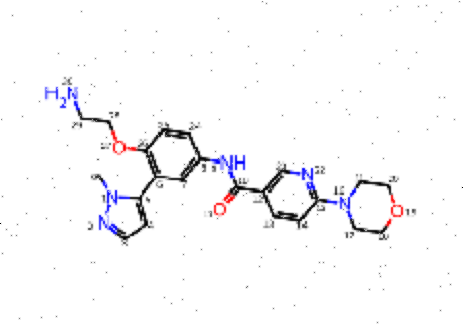 Cn1nccc1-c1cc(NC(=O)c2ccc(N3CCOCC3)nc2)ccc1OCCN